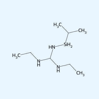 CCNC(NCC)N[SiH2]C(C)C